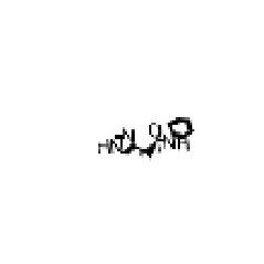 O=C(Nc1ccccc1)[C@@H]1C[C@H]1c1c[nH]cn1